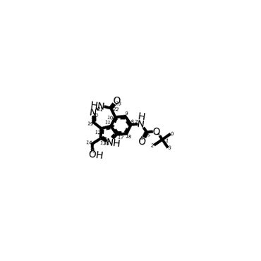 CC(C)(C)OC(=O)Nc1cc2c3c(c(CO)[nH]c3c1)C=NNC2=O